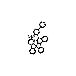 O=[N+]([O-])c1ccc(-c2ccccc2)cc1-c1cc2c(c3ccccc13)-c1ccccc1C21c2ccccc2-c2ccccc21